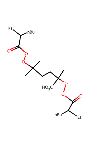 CCCCC(CC)C(=O)OOC(C)(C)CCC(C)(OOC(=O)C(CC)CCCC)C(=O)O